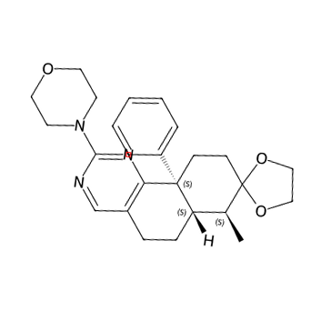 C[C@H]1[C@@H]2CCc3cnc(N4CCOCC4)nc3[C@@]2(c2ccccc2)CCC12OCCO2